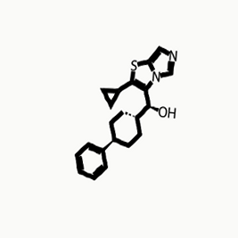 O[C@H](c1c(C2CC2)sc2cncn12)[C@H]1CC[C@H](c2ccccc2)CC1